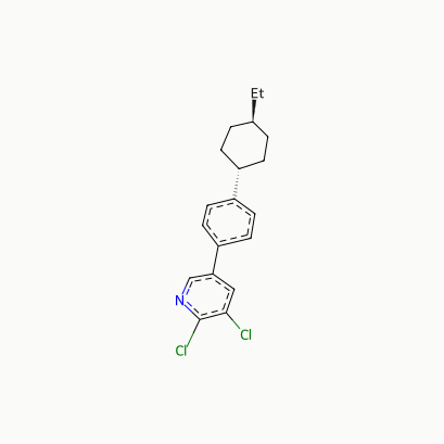 CC[C@H]1CC[C@H](c2ccc(-c3cnc(Cl)c(Cl)c3)cc2)CC1